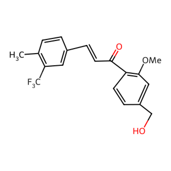 COc1cc(CO)ccc1C(=O)/C=C/c1ccc(C)c(C(F)(F)F)c1